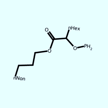 CCCCCCCCCCCCOC(=O)C(CCCCCC)OP